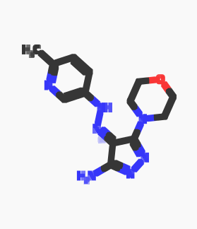 Cc1ccc(N/N=C2/C(N)=NN=C2N2CCOCC2)cn1